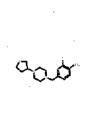 Nc1ccc(CN2CCN(C3CCOC3)CC2)cc1F